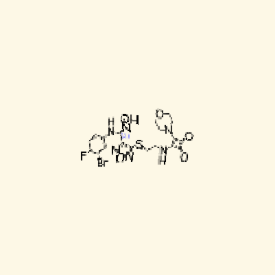 O=c1c(NCCSc2nonc2/C(=N/O)Nc2ccc(F)c(Br)c2)c(N2CCOCC2)c1=O